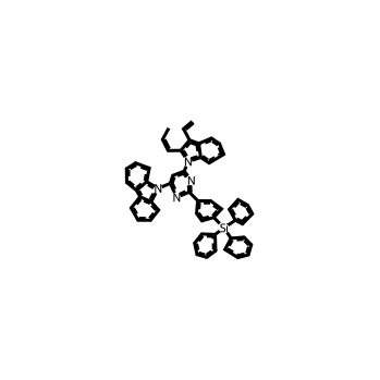 C=Cc1c(/C=C\C)n(-c2cc(-n3c4ccccc4c4ccccc43)nc(-c3ccc([Si](c4ccccc4)(c4ccccc4)c4ccccc4)cc3)n2)c2ccccc12